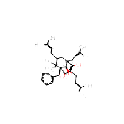 CC(C)=CCC1=C(O)C2(CC=C(C)C)CC(CC=C(C)C)C(C)(C)C(C(=O)c3ccccc3)(C1=O)C2=O